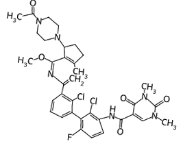 C=C(/N=C(/OC)C1=C(C)CCC1N1CCN(C(C)=O)CC1)c1cccc(-c2c(F)ccc(NC(=O)c3cn(C)c(=O)n(C)c3=O)c2Cl)c1Cl